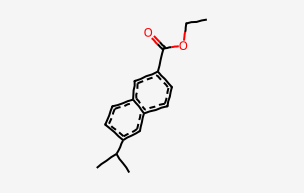 CCOC(=O)c1ccc2cc(C(C)C)ccc2c1